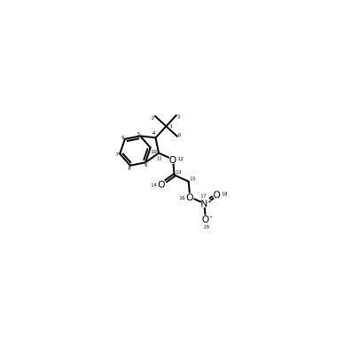 CC(C)(C)C1c2cccc(c2)C1OC(=O)CO[N+](=O)[O-]